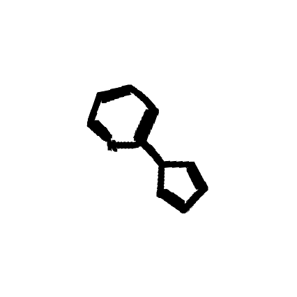 C1=CC(c2ccccn2)C=C1